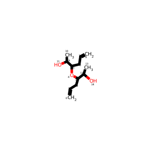 C=CCC(OC(CC=C)C(C)O)C(C)O